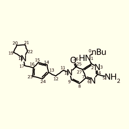 CCCCNc1nc(N)nc2ccn(CCc3ccc(CN4CCCC4)cc3)c(=O)c12